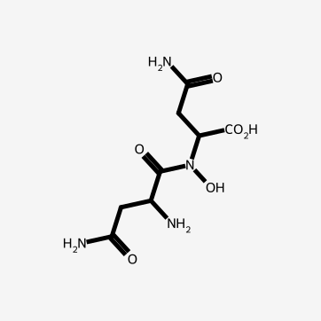 NC(=O)CC(N)C(=O)N(O)C(CC(N)=O)C(=O)O